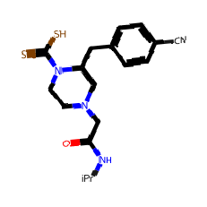 CC(C)NC(=O)CN1CCN(C(=S)S)C(Cc2ccc(C#N)cc2)C1